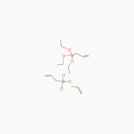 C=CC[Si](Cl)(Cl)Cl.C=CC[Si](OCC)(OCC)OCC.[CH2]C=C